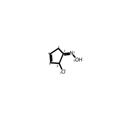 ON=C1CC=CC1Cl